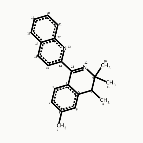 Cc1ccc2c(c1)C(C)C(C)(C)N=C2c1ccc2ccccc2n1